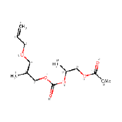 C=CCOCC(C)COC(=O)OC(C)COC(=O)OC